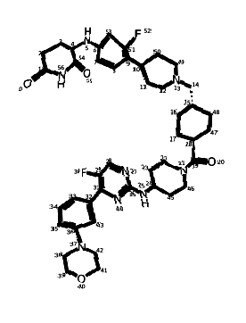 O=C1CCC(Nc2ccc(C3CCN(C[C@H]4CC[C@H](C(=O)N5CCC(Nc6ncc(F)c(-c7cccc(N8CCOCC8)c7)n6)CC5)CC4)CC3)c(F)c2)C(=O)N1